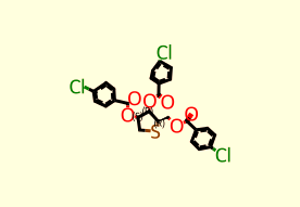 O=C(OC[C@H]1SC[C@@H](OC(=O)c2ccc(Cl)cc2)[C@H]1OC(=O)c1ccc(Cl)cc1)c1ccc(Cl)cc1